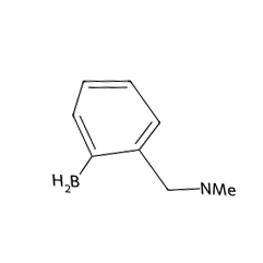 Bc1ccccc1CNC